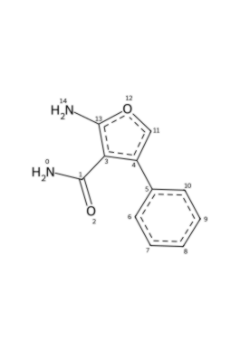 NC(=O)c1c(-c2ccccc2)coc1N